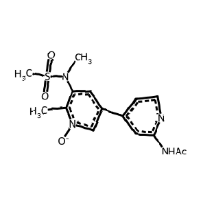 CC(=O)Nc1cc(-c2cc(N(C)S(C)(=O)=O)c(C)[n+]([O-])c2)ccn1